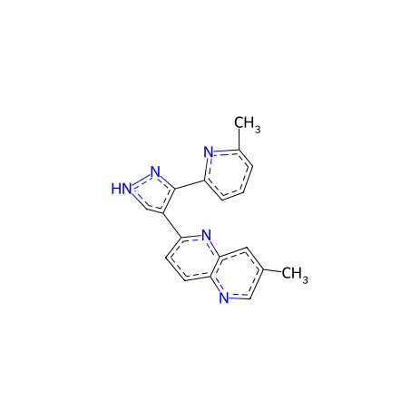 Cc1cnc2ccc(-c3c[nH]nc3-c3cccc(C)n3)nc2c1